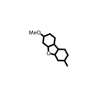 COC1CCC2C(C1)OC1CC(C)CCC12